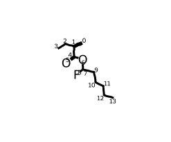 C=C(CC)C(=O)OC(F)CCCCC